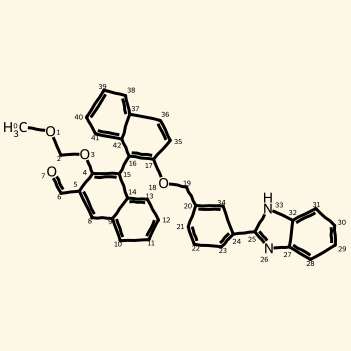 COCOc1c(C=O)cc2ccccc2c1-c1c(OCc2cccc(-c3nc4ccccc4[nH]3)c2)ccc2ccccc12